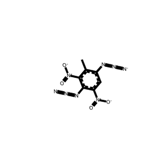 Cc1c(N=[N+]=[N-])cc([N+](=O)[O-])c(N=[N+]=[N-])c1[N+](=O)[O-]